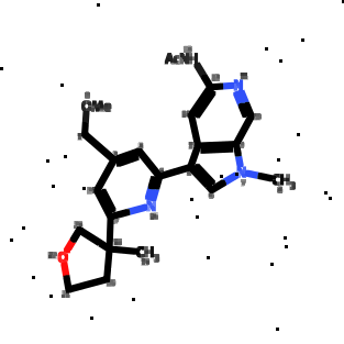 COCc1cc(-c2cn(C)c3cnc(NC(C)=O)cc23)nc(C2(C)CCOC2)c1